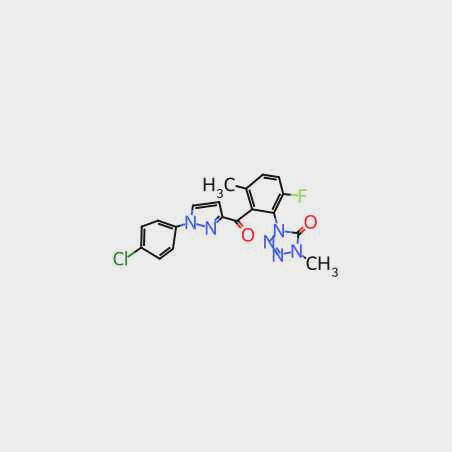 Cc1ccc(F)c(-n2nnn(C)c2=O)c1C(=O)c1ccn(-c2ccc(Cl)cc2)n1